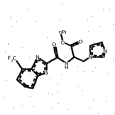 CCCOC(=O)C(Cn1ccnc1)NC(=O)c1nc2c(C(F)(F)F)cccc2s1